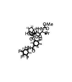 COC(=O)NC(C(=O)NC[C@@]1(O)C2CC[C@H]1C[C@H](S(=O)(=O)c1cc(C(=O)Nc3cc(F)c(F)c(F)c3)ccc1Cl)C2)C(C)C